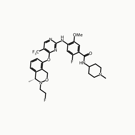 COc1cc(C(=O)NC2CCN(C)CC2)c(F)cc1Nc1ncc(C(F)(F)F)c(Oc2cccc3c2CON(CCF)[C@@H]3C)n1